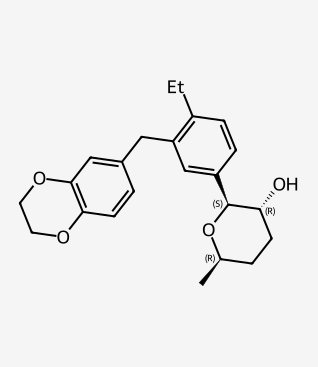 CCc1ccc([C@@H]2O[C@H](C)CC[C@H]2O)cc1Cc1ccc2c(c1)OCCO2